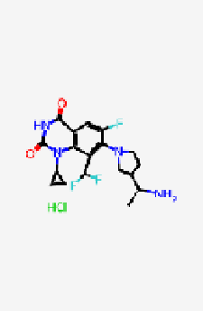 C[C@H](N)C1CCN(c2c(F)cc3c(=O)[nH]c(=O)n(C4CC4)c3c2C(F)F)C1.Cl